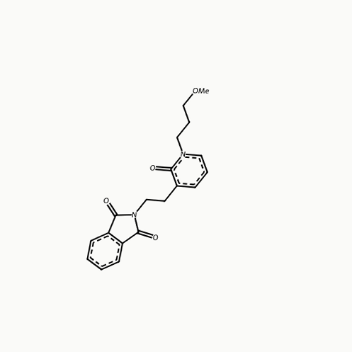 COCCCn1cccc(CCN2C(=O)c3ccccc3C2=O)c1=O